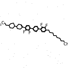 CCCCCCCCCCc1ccc(-c2ccc(-c3ccc(C4=CCC(C5CCC(CCC)CC5)CC4)c(F)c3F)cc2)c(F)c1F